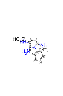 CC(Nc1ccc(NC(=O)O)c(N)n1)c1ccccc1